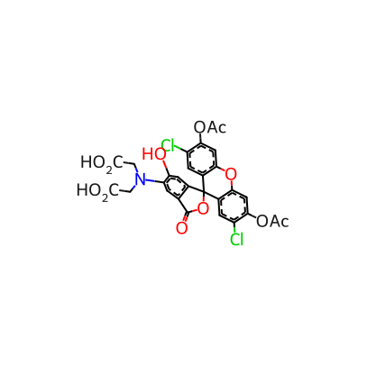 CC(=O)Oc1cc2c(cc1Cl)C1(OC(=O)c3cc(N(CC(=O)O)CC(=O)O)c(O)cc31)c1cc(Cl)c(OC(C)=O)cc1O2